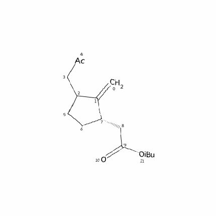 C=C1C(CC(C)=O)CC[C@H]1CC(=O)OCC(C)C